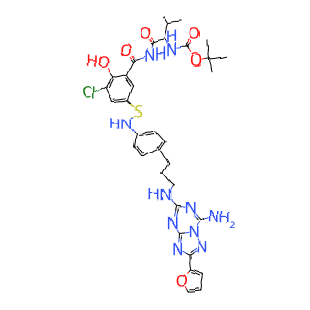 CC(C)C(NC(=O)OC(C)(C)C)C(=O)NC(=O)c1cc(SNc2ccc(CCCNc3nc(N)n4nc(-c5ccco5)nc4n3)cc2)cc(Cl)c1O